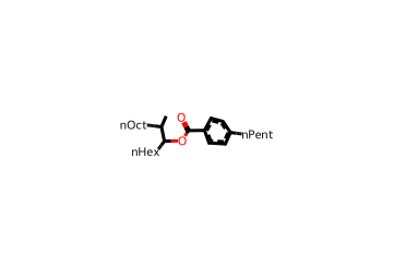 CCCCCCCCC(C)C(CCCCCC)OC(=O)c1ccc(CCCCC)cc1